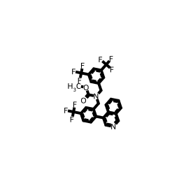 COC(=O)N(Cc1cc(C(F)(F)F)cc(C(F)(F)F)c1)Cc1cc(C(F)(F)F)ccc1-c1cncc2ccccc12